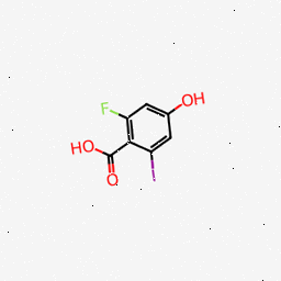 O=C(O)c1c(F)cc(O)cc1I